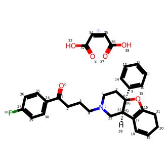 O=C(CCCN1CC[C@@]2(c3ccccc3)OC3=C(C=CCC3)[C@H]2C1)c1ccc(F)cc1.O=C(O)/C=C\C(=O)O